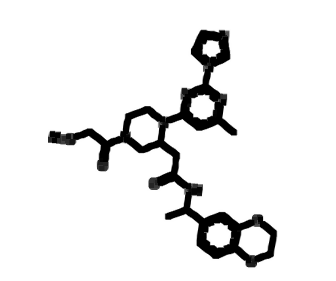 COCC(=O)N1CCN(c2cc(C)nc(-n3ccnc3)n2)C(CC(=O)NC(C)c2ccc3c(c2)OCCO3)C1